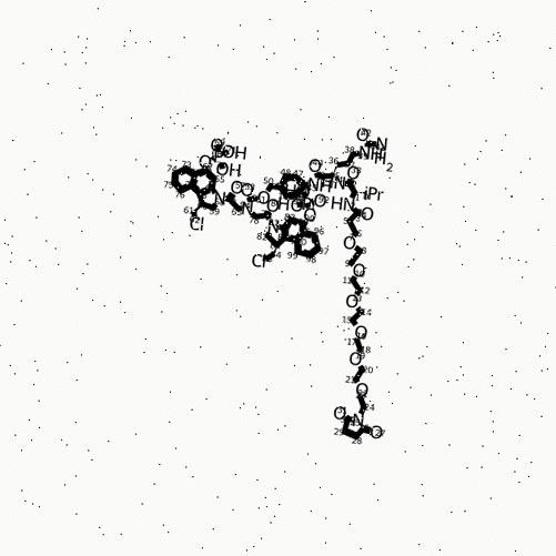 CC(C)[C@H](NC(=O)CCOCCOCCOCCOCCOCCOCCN1C(=O)C=CC1=O)C(=O)N[C@@H](CCCNC(N)=O)C(=O)Nc1ccc(COC(=O)N(CC(=O)N2C[C@@H](CCl)c3c2cc(OP(=O)(O)O)c2ccccc32)CC(=O)N2C[C@@H](CCl)c3c2cc(OP(=O)(O)O)c2ccccc32)cc1